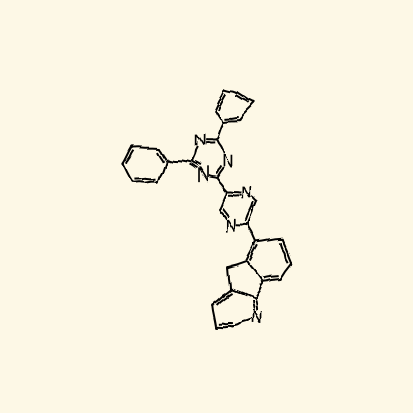 c1ccc(-c2nc(-c3ccccc3)nc(-c3cnc(-c4cccc5c4Cc4cccnc4-5)cn3)n2)cc1